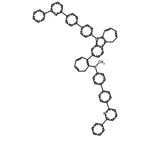 CN(C1=C(c2ccc3c4c(n(-c5ccc(-c6ccc(-c7cccc(-c8ccccc8)n7)cc6)cc5)c3c2)C=CC=CC4)C=CC=CC1)c1ccc(-c2ccc(-c3cccc(-c4ccccc4)n3)cc2)cc1